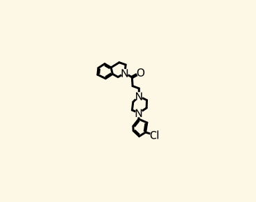 O=C(CCN1CCN(c2cccc(Cl)c2)CC1)N1CCc2ccccc2C1